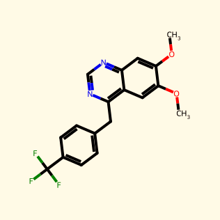 COc1cc2ncnc(Cc3ccc(C(F)(F)F)cc3)c2cc1OC